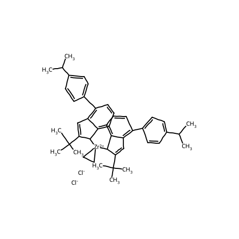 CC(C)c1ccc(-c2cccc3c2C=C(C(C)(C)C)[CH]3[Zr+2]2([CH]3C(C(C)(C)C)=Cc4c(-c5ccc(C(C)C)cc5)cccc43)[CH2][CH2]2)cc1.[Cl-].[Cl-]